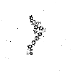 C=CC(=O)Nc1cc(Nc2nc(-c3ccnc(N4CCn5c(cc6c5CC(C)(C)C6)C4=O)c3CO)cnc2OC)ccc1N1CCN(C2CCN(c3ccc(F)c(C(C)(C)OP(=O)(O)O)c3)[C@H](C)C2)C[C@@H]1C